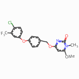 COc1cc(OCc2ccc(Oc3ccc(Cl)c(C(F)(F)F)c3)cc2)nc(=O)n1C